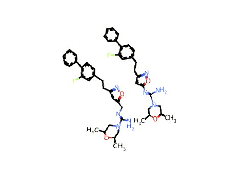 CC1CN(C(N)=NCc2cc(CCc3ccc(-c4ccccc4)c(F)c3)no2)CC(C)O1.CC1CN(C(N)=Nc2cc(CCc3ccc(-c4ccccc4)c(F)c3)no2)CC(C)O1